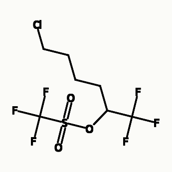 O=S(=O)(OC(CCCCCl)C(F)(F)F)C(F)(F)F